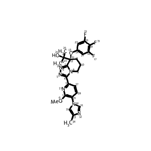 COc1nc(-c2nnc3n2CCC[C@@]3(Oc2cc(F)c(F)c(F)c2)C(C)(C)O)ccc1-n1cnc(C)c1